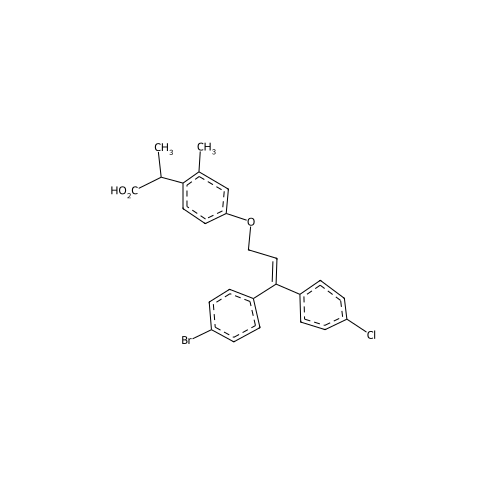 Cc1cc(OCC=C(c2ccc(Cl)cc2)c2ccc(Br)cc2)ccc1C(C)C(=O)O